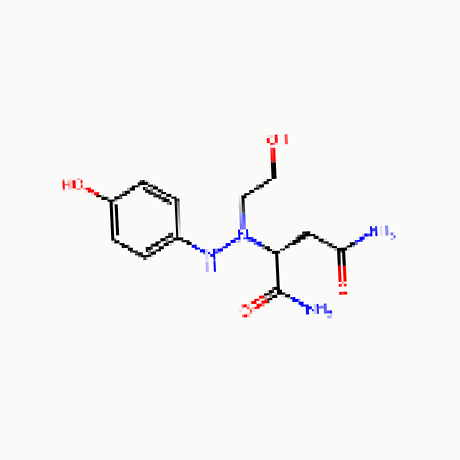 NC(=O)C[C@@H](C(N)=O)N(CCO)Nc1ccc(O)cc1